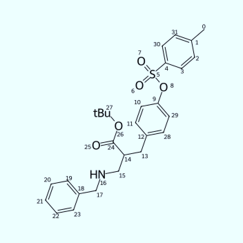 Cc1ccc(S(=O)(=O)Oc2ccc(CC(CNCc3ccccc3)C(=O)OC(C)(C)C)cc2)cc1